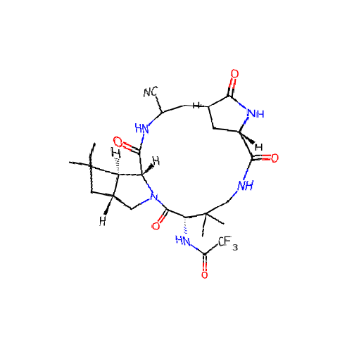 CC1(C)C[C@H]2CN3C(=O)[C@@H](NC(=O)C(F)(F)F)C(C)(C)CNC(=O)[C@@H]4C[C@@H](CC(C#N)NC(=O)[C@H]3[C@@H]21)C(=O)N4